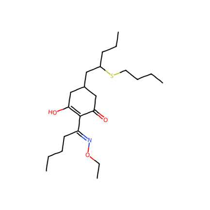 CCCCSC(CCC)CC1CC(=O)C(C(CCCC)=NOCC)=C(O)C1